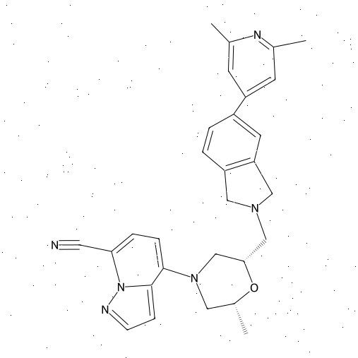 Cc1cc(-c2ccc3c(c2)CN(C[C@H]2CN(c4ccc(C#N)n5nccc45)C[C@@H](C)O2)C3)cc(C)n1